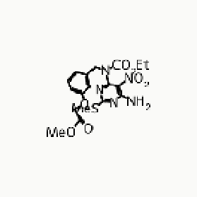 CCOC(=O)N(Cc1cccc(OCC(=O)OC)c1)c1nc(SC)nc(N)c1[N+](=O)[O-]